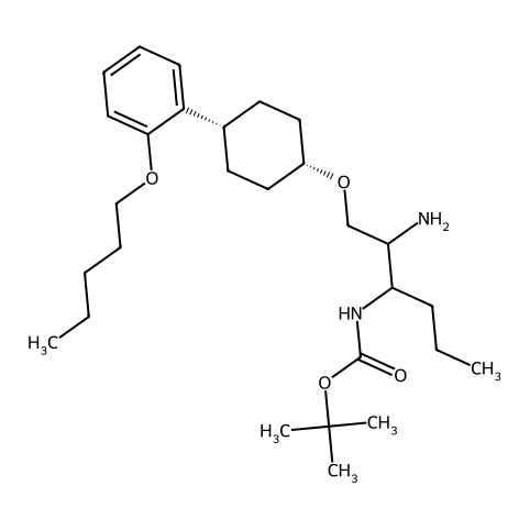 CCCCCOc1ccccc1[C@H]1CC[C@@H](OCC(N)C(CCC)NC(=O)OC(C)(C)C)CC1